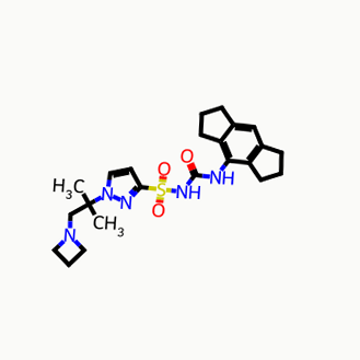 CC(C)(CN1CCC1)n1ccc(S(=O)(=O)NC(=O)Nc2c3c(cc4c2CCC4)CCC3)n1